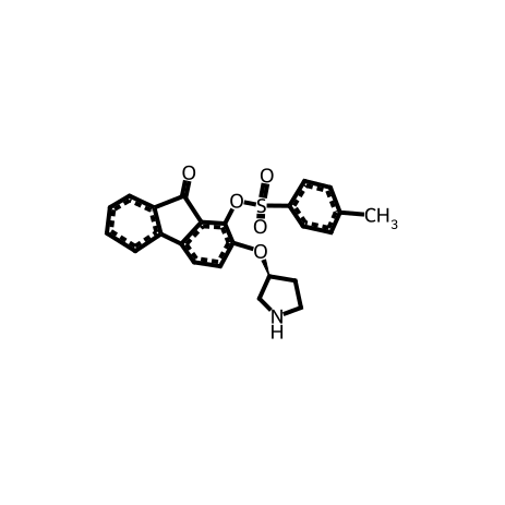 Cc1ccc(S(=O)(=O)Oc2c(O[C@H]3CCNC3)ccc3c2C(=O)c2ccccc2-3)cc1